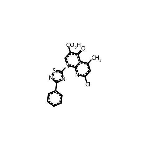 Cc1cc(Cl)nc2c1c(=O)c(C(=O)O)cn2-c1nc(-c2ccccc2)ns1